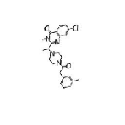 Cc1cccc(CC(=O)N2CCN(C(C)c3nc4cc(Cl)ccc4c(=O)n3C)CC2)c1